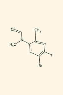 Cc1cc(F)c(Br)cc1N(C)C=O